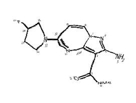 CNC(=O)c1c(N)nn2ccc(N3CCC(F)C3)nc12